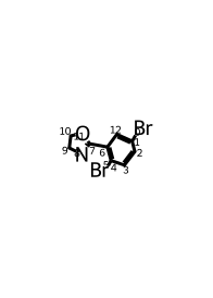 Brc1ccc(Br)c(C2=NCCO2)c1